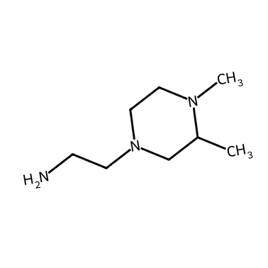 CC1CN(CCN)CCN1C